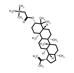 C=C(C)[C@@H]1CC[C@]2(C)CC[C@]3(C)[C@H](CCC4[C@@]5(C)CC[C@H](OC(=O)C[N+](C)(C)C)C(C)(C)[C@@H]5CC[C@]43C)[C@@H]12